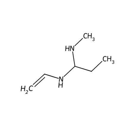 C=CNC(CC)NC